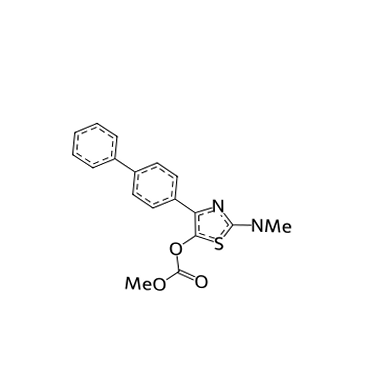 CNc1nc(-c2ccc(-c3ccccc3)cc2)c(OC(=O)OC)s1